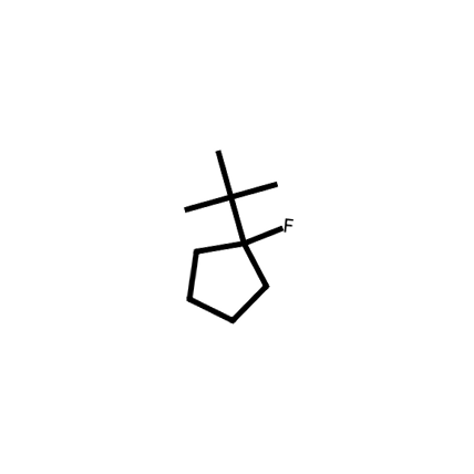 CC(C)(C)C1(F)CCCC1